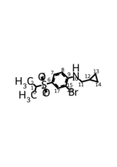 CC(C)S(=O)(=O)c1ccc(NCC2CC2)c(Br)c1